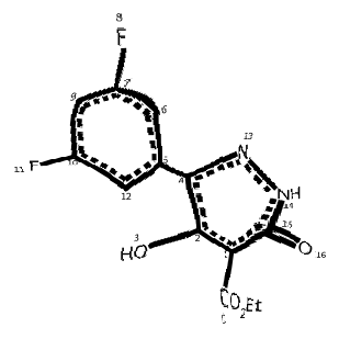 CCOC(=O)c1c(O)c(-c2cc(F)cc(F)c2)n[nH]c1=O